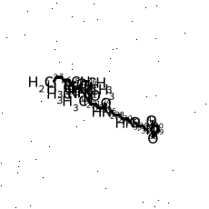 C=C/C=C\C=C\C(C)(C)C(NC)C(=O)NC(C(=O)N(C)C/C=C/C(=O)NCCCCCNOCCCN1C(=O)C=CC1=O)C(C)(C)C